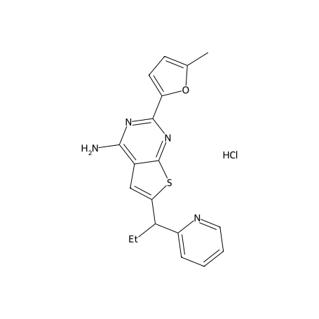 CCC(c1ccccn1)c1cc2c(N)nc(-c3ccc(C)o3)nc2s1.Cl